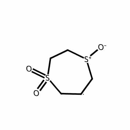 O=S1(=O)C[CH]C[S+]([O-])CC1